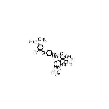 CCNC(=O)NC(C(=O)NCc1ccc(Oc2ccc(C(C)O)cc2Cl)cc1)C(C)C